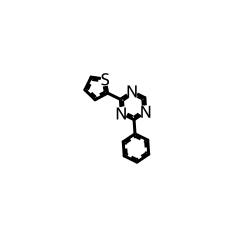 c1ccc(-c2ncnc(-c3cccs3)n2)cc1